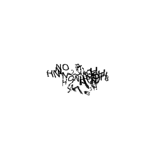 CSCCC(=O)N[C@@H](CCCNC1NN1[N+](=O)[O-])C(=O)N[C@@H](CC(C)C)B1O[C@@H]2C[C@@H]3C[C@@H](C3(C)C)[C@]2(C)O1